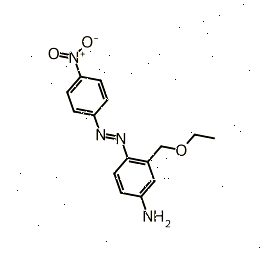 CCOCc1cc(N)ccc1N=Nc1ccc([N+](=O)[O-])cc1